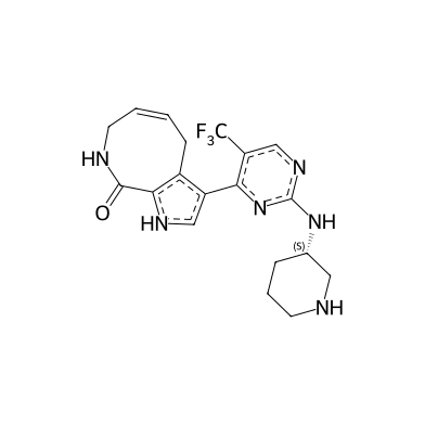 O=C1NCC=CCc2c(-c3nc(N[C@H]4CCCNC4)ncc3C(F)(F)F)c[nH]c21